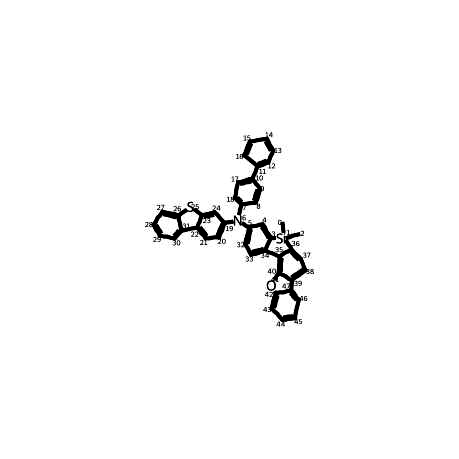 C[Si]1(C)c2cc(N(c3ccc(-c4ccccc4)cc3)c3ccc4c(c3)sc3ccccc34)ccc2-c2c1ccc1c2oc2ccccc21